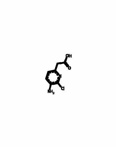 Nc1ccc(CC(=O)O)nc1Cl